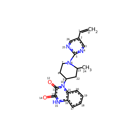 C=Cc1cnc(N2CCC(n3c(=O)c(=O)[nH]c4ccccc43)CC2C)nc1